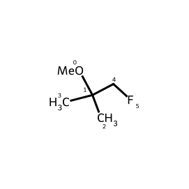 COC(C)(C)CF